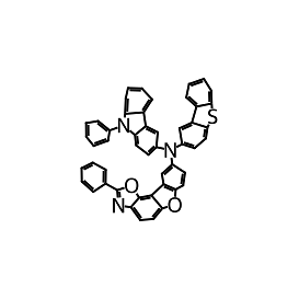 c1ccc(-c2nc3ccc4oc5ccc(N(c6ccc7sc8ccccc8c7c6)c6ccc7c(c6)c6ccccc6n7-c6ccccc6)cc5c4c3o2)cc1